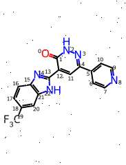 O=c1[nH]nc(-c2ccncc2)cc1-c1nc2ccc(C(F)(F)F)cc2[nH]1